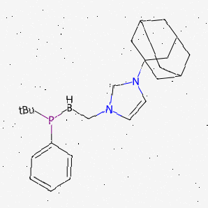 CC(C)(C)P(BCN1[C]N(C23CC4CC(CC(C4)C2)C3)C=C1)c1ccccc1